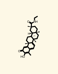 CCNC(=O)[C@]1(C)CC[C@]2(C)CC[C@]3(C)C4=CC=C5C(=CC(=O)C(O)=C5C)[C@]4(C)CC[C@@]3(C)[C@@H]2C1